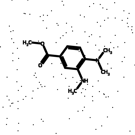 CNc1cc(C(=O)OC)ccc1N(C)C